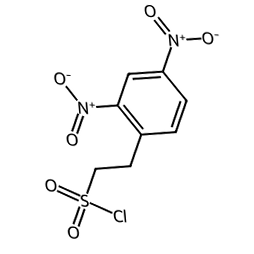 O=[N+]([O-])c1ccc(CCS(=O)(=O)Cl)c([N+](=O)[O-])c1